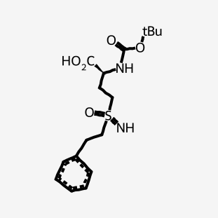 CC(C)(C)OC(=O)N[C@@H](CCS(=N)(=O)CCc1ccccc1)C(=O)O